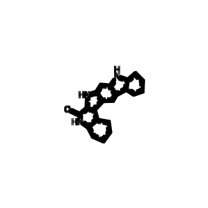 O=c1[nH]c2ccccc2c2c1[nH]c1cc3[nH]c4ccccc4c3cc12